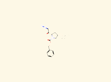 CC(C)(C)[Si](C)(C)O[C@H]1C[C@H](C(=O)C=[N+]=[N-])N(C(=O)OCc2ccccc2)C1